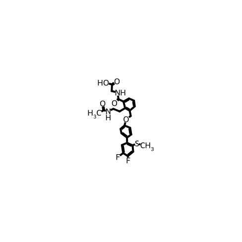 CSc1cc(F)c(F)cc1-c1ccc(OCc2cccc(C(=O)NCC(=O)O)c2CCNC(C)=O)cc1